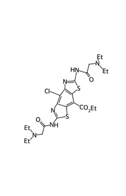 CCOC(=O)c1c2sc(NC(=O)CN(CC)CC)nc2c(Cl)c2nc(NC(=O)CN(CC)CC)sc12